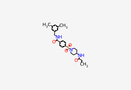 C=CC(=O)NC1CCN(S(=O)(=O)c2ccc(C(=O)NCc3cc(C)cc(C)c3)cc2)CC1